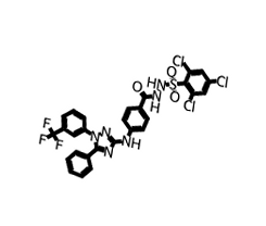 O=C(NNS(=O)(=O)c1c(Cl)cc(Cl)cc1Cl)c1ccc(Nc2nc(-c3ccccc3)n(-c3cccc(C(F)(F)F)c3)n2)cc1